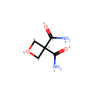 NC(=O)C1(C(N)=O)COC1